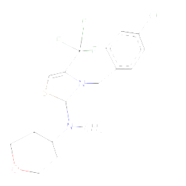 CN(C1CCOCC1)C1SC=C(C(F)(F)F)N1Cc1ccc(Cl)cc1